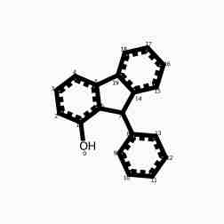 Oc1cccc2c1C(c1ccccc1)c1ccccc1-2